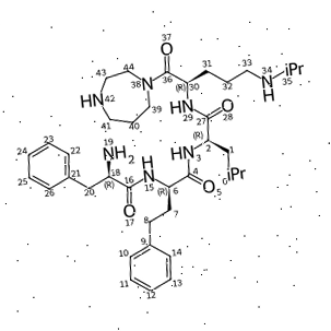 CC(C)C[C@@H](NC(=O)[C@@H](CCc1ccccc1)NC(=O)[C@H](N)Cc1ccccc1)C(=O)N[C@H](CCCNC(C)C)C(=O)N1CCCNCC1